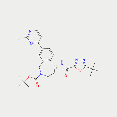 CC(C)(C)OC(=O)N1CC[C@@H](NC(=O)c2nnc(C(C)(C)C)o2)c2ccc(-c3ccnc(Cl)n3)cc2C1